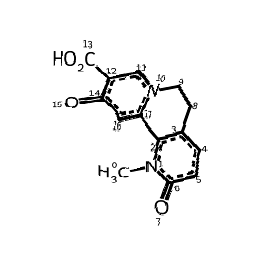 Cn1c2c(ccc1=O)CCn1cc(C(=O)O)c(=O)cc1-2